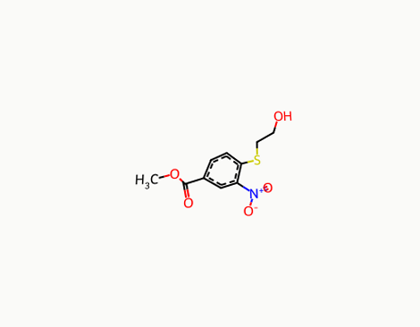 COC(=O)c1ccc(SCCO)c([N+](=O)[O-])c1